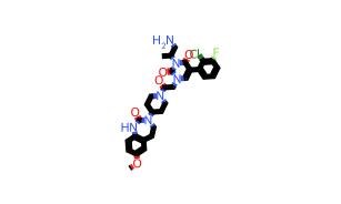 COc1ccc2c(c1)CCN(C1CCN(C(=O)Cn3cc(-c4cccc(F)c4Cl)c(=O)n(C(C)CN)c3=O)CC1)C(=O)N2